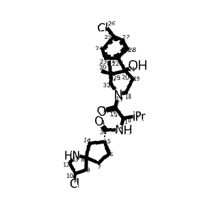 CC(C)C(NC(=O)[C@@H]1CCC2(CC(Cl)CN2)C1)C(=O)N1CCC(O)(c2ccc(Cl)cc2)C(C)(C)C1